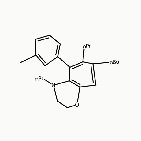 CCCCc1cc2c(c(-c3cccc(C)c3)c1CCC)N(CCC)CCO2